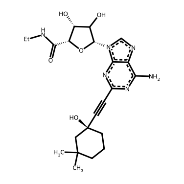 CCNC(=O)[C@H]1O[C@@H](n2cnc3c(N)nc(C#C[C@]4(O)CCCC(C)(C)C4)nc32)C(O)[C@H]1O